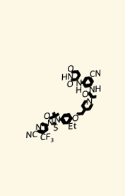 CCc1cc(N2C(=S)N(c3cnc(C#N)c(C(F)(F)F)c3)C(=O)C2(C)C)ccc1OCCC1CCN(C(C)C(=O)Nc2cc(C#N)cc(NC3CCC(=O)NC3=O)c2)CC1